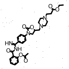 CCOC(=O)CCN1CCN(CC2CN(c3ccc(C(=N)NC(=O)c4ccccc4OC(C)=O)cc3)C(=O)O2)CC1